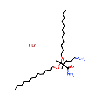 Br.CCCCCCCCCCCCOC(C)(OCCCCCCCCCCCC)C(C)(CCCN)C(N)=O